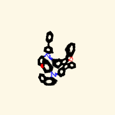 c1ccc(-c2ccc(N(c3ccccc3)c3ccc4c(c3)-c3c(oc5ccccc35)C43c4ccccc4-c4ccc(N(c5ccccc5)c5cccc6ccccc56)cc43)cc2)cc1